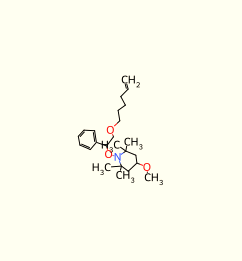 C=CCCCCOCC(ON1C(C)(C)CC(OC)CC1(C)C)c1ccccc1